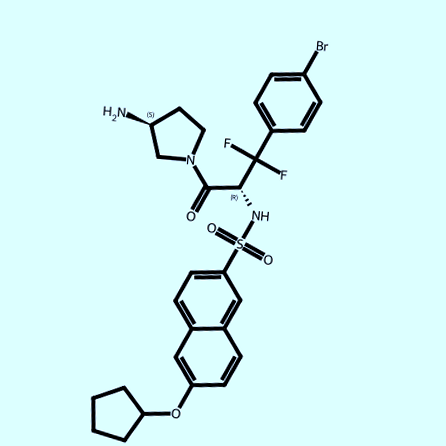 N[C@H]1CCN(C(=O)[C@@H](NS(=O)(=O)c2ccc3cc(OC4CCCC4)ccc3c2)C(F)(F)c2ccc(Br)cc2)C1